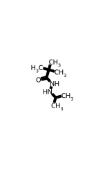 CC(C)NNC(=O)C(C)(C)C